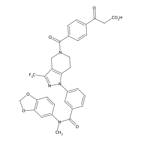 CN(C(=O)c1cccc(-n2nc(C(F)(F)F)c3c2CCN(C(=O)c2ccc(C(=O)CC(=O)O)cc2)C3)c1)c1ccc2c(c1)OCO2